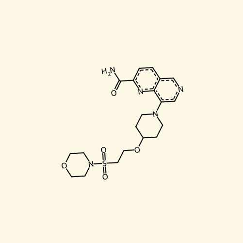 NC(=O)c1ccc2cncc(N3CCC(OCCS(=O)(=O)N4CCOCC4)CC3)c2n1